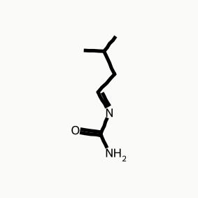 CC(C)CC=NC(N)=O